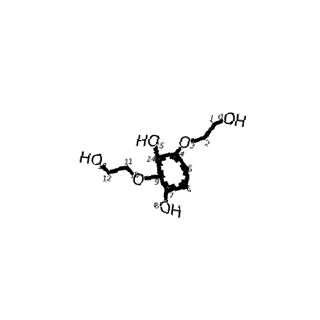 OCCOc1ccc(O)c(OCCO)c1O